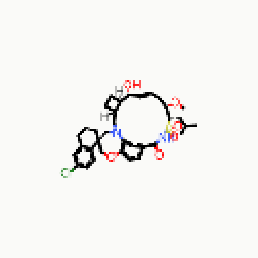 CO[C@@H]1C/C=C/[C@H](O)[C@@H]2CC[C@H]2CN2C[C@@]3(CCCc4cc(Cl)ccc43)COc3ccc(cc32)C(=O)NS(=O)(=O)[C@H]1CC(C)C